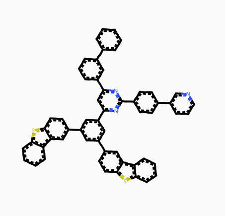 c1ccc(-c2cccc(-c3cc(-c4cc(-c5ccc6sc7ccccc7c6c5)cc(-c5ccc6sc7ccccc7c6c5)c4)nc(-c4ccc(-c5cccnc5)cc4)n3)c2)cc1